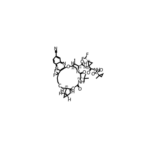 C[C@@H]1[C@@H]2CN(C(=O)[C@H](C(C)(C)C)NC(=O)O[C@@H]3C[C@@H]4C[C@@H]4[C@H]3CCCCC(F)(F)c3nc4ccc(C#N)cc4nc3O2)[C@@H]1C(=O)N[C@]1(C(=O)NS(=O)(=O)C2(C)CC2)C[C@H]1C(F)F